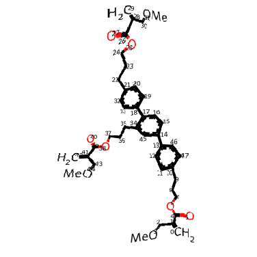 C=C(COC)C(=O)OCCCc1ccc(-c2ccc(-c3ccc(CCCOC(=O)C(=C)COC)cc3)c(CCCOC(=O)C(=C)COC)c2)cc1